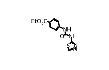 CCOC(=O)c1ccc(NC(=O)Nc2nncs2)cc1